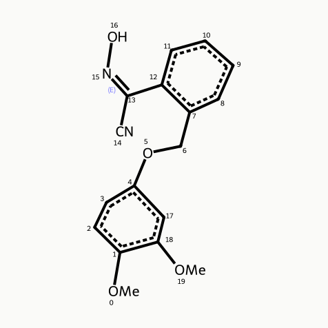 COc1ccc(OCc2ccccc2/C(C#N)=N\O)cc1OC